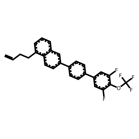 C=CCCc1cccc2cc(-c3ccc(-c4cc(F)c(OC(F)(F)F)c(F)c4)cc3)ccc12